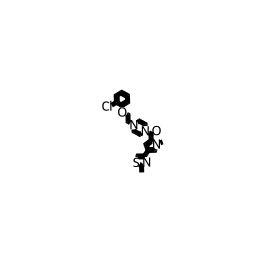 Cc1nc(-c2cc(C(=O)N3CCN(CCOc4ccccc4Cl)CC3)n(C)c2)cs1